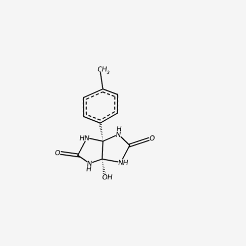 Cc1ccc([C@]23NC(=O)N[C@@]2(O)NC(=O)N3)cc1